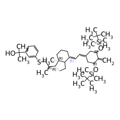 C=C1[C@H](O[Si](C)(C)C(C)(C)C)CC(=C/C=C2\CCC[C@@]3(C)C2CC[C@@H]3[C@@H](C)CSc2cccc(C(C)(C)O)c2)C[C@H]1O[Si](C)(C)C(C)(C)C